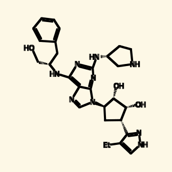 CCc1c[nH]nc1[C@@H]1C[C@@H](n2cnc3c(N[C@H](CO)Cc4ccccc4)nc(N[C@@H]4CCNC4)nc32)[C@H](O)[C@@H]1O